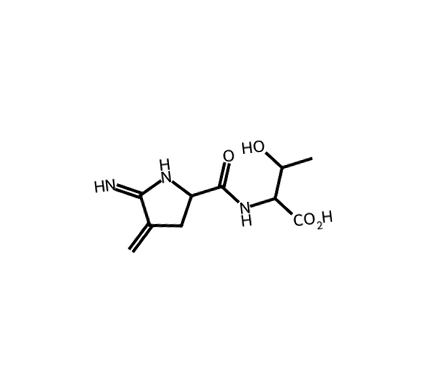 C=C1CC(C(=O)NC(C(=O)O)C(C)O)NC1=N